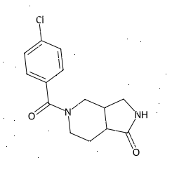 O=C1NCC2CN(C(=O)c3ccc(Cl)cc3)CCC12